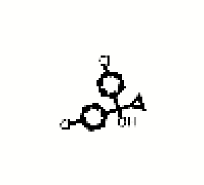 OC(c1ccc(Cl)cc1)(c1ccc(Cl)cc1)C1CC1